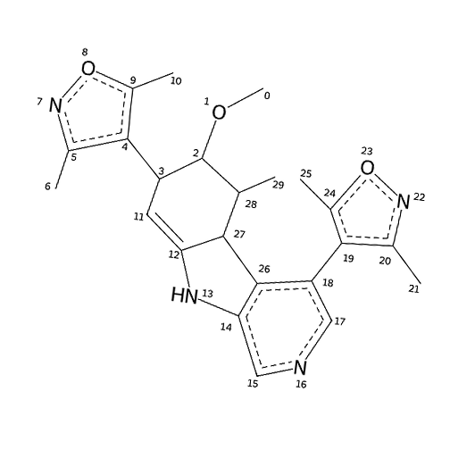 COC1C(c2c(C)noc2C)C=C2Nc3cncc(-c4c(C)noc4C)c3C2C1C